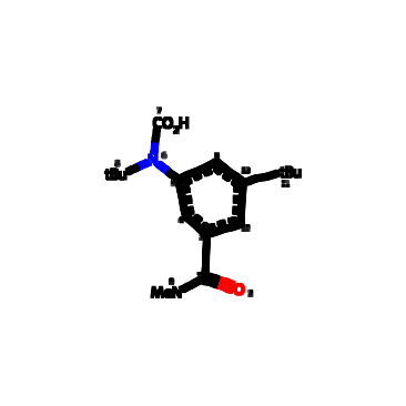 CNC(=O)c1cc(N(C(=O)O)C(C)(C)C)cc(C(C)(C)C)c1